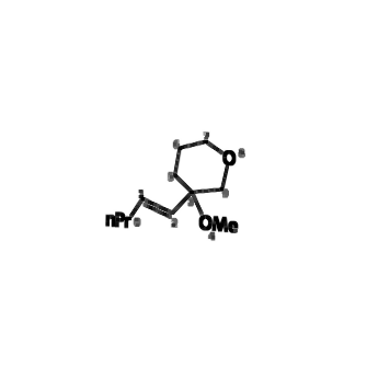 CCCC=CC1(OC)CCCOC1